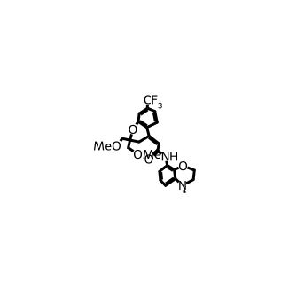 COCC1(COC)CC(=CC(=O)Nc2cccc3c2OCCN3C)c2ccc(C(F)(F)F)cc2O1